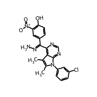 Cc1c(C)n(-c2cccc(Cl)c2)c2ncnc(C(=NN)c3ccc(O)c([N+](=O)[O-])c3)c12